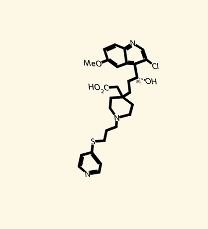 COc1ccc2ncc(Cl)c([C@H](O)CCC3(CC(=O)O)CCN(CCCSc4ccncc4)CC3)c2c1